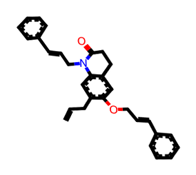 C=CCc1cc2c(cc1OC/C=C/c1ccccc1)CCC(=O)N2C/C=C/c1ccccc1